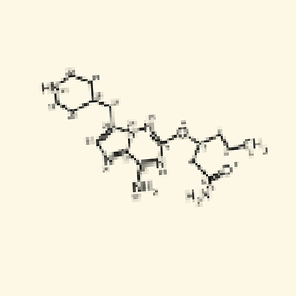 CCCC(CC(N)=O)Oc1nc(N)c2ncc(CC3CCNCC3)n2n1